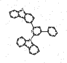 c1ccc(-c2cc(-c3ccc4sc5ccccc5c4c3)nc(-n3c4ccccc4c4ccccc43)c2)cc1